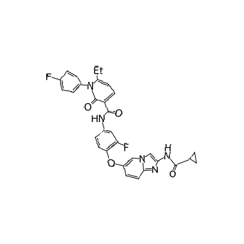 CCc1ccc(C(=O)Nc2ccc(Oc3ccc4nc(NC(=O)C5CC5)cn4c3)c(F)c2)c(=O)n1-c1ccc(F)cc1